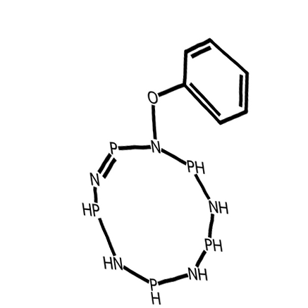 c1ccc(On2pn[pH][nH][pH][nH][pH][nH][pH]2)cc1